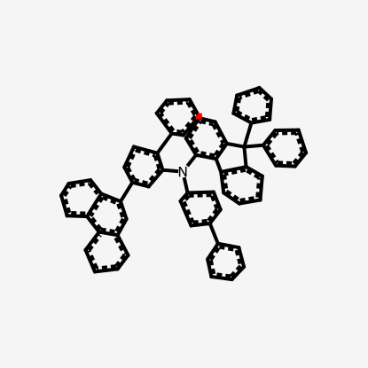 c1ccc(-c2ccc(N(c3cc(-c4cc5ccccc5c5ccccc45)ccc3-c3ccccc3)c3cccc4c3-c3ccccc3C4(c3ccccc3)c3ccccc3)cc2)cc1